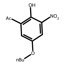 CCCCOc1cc(C(C)=O)c(O)c([N+](=O)[O-])c1